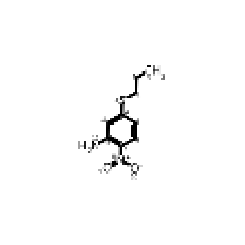 CCCSc1ccc([N+](=O)[O-])c(N)c1